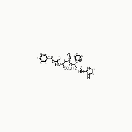 O=C(NC(CN(OCCCNC1=NCCN1)C(=O)c1ccno1)C(=O)O)OCc1ccccc1